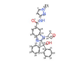 CCn1ccc(NC(=O)c2ccc3nc(C(O)(c4ccccc4)c4ccccc4)n(C4COC4)c3c2)n1